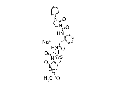 CC(=O)OCC1=C(C(=O)[O-])N2C(=O)C(NC(=O)Cc3ccccc3NC(=O)N3CCN(c4ccccc4)C3=O)[C@H]2SC1.[Na+]